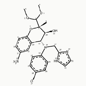 COC(OC)[C@@]1(C)Oc2ccc(N)cc2[C@@H](N(Cc2ncc[nH]2)c2ccc(Cl)cc2)[C@@H]1O